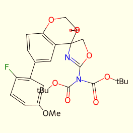 COc1ccc(F)c(-c2ccc3c(c2)C2(COC(N(C(=O)OC(C)(C)C)C(=O)OC(C)(C)C)=N2)C2(COC2)CO3)c1